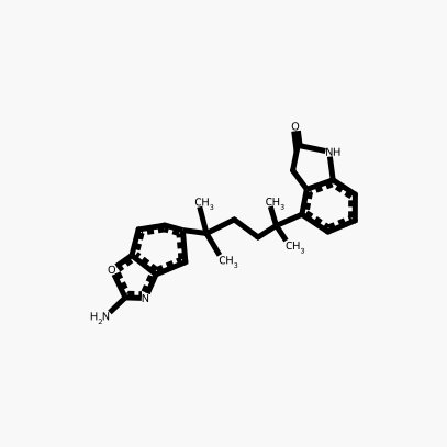 CC(C)(CCC(C)(C)c1cccc2c1CC(=O)N2)c1ccc2oc(N)nc2c1